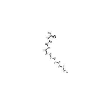 CCCCCCCCC/C=C\CCCCC(C)=O